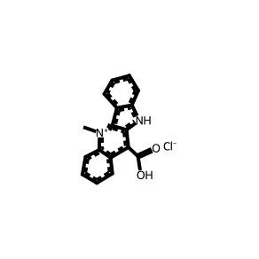 C[n+]1c2ccccc2c(C(=O)O)c2[nH]c3ccccc3c21.[Cl-]